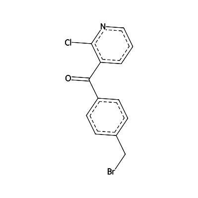 O=C(c1ccc(CBr)cc1)c1cccnc1Cl